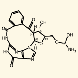 NP(O)OC[C@H]1O[C@@H]2[C@H](C(=O)c3ccccc3C(=O)Nc3nc4c(ncn42)c(=O)[nH]3)[C@@H]1O